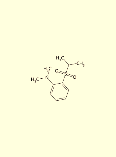 CC(C)S(=O)(=O)c1ccccc1N(C)C